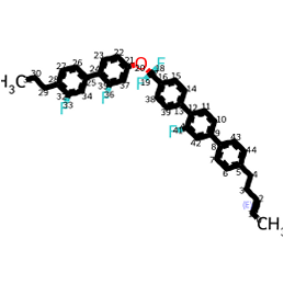 C/C=C/CCc1ccc(-c2ccc(-c3ccc(C(F)(F)Oc4ccc(-c5ccc(CCC)c(F)c5)c(F)c4)cc3)c(F)c2)cc1